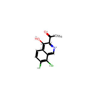 COC(=O)c1ncc2c(Br)c(F)ccc2c1O